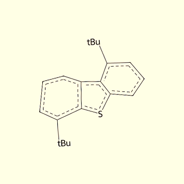 CC(C)(C)c1cccc2c1sc1cccc(C(C)(C)C)c12